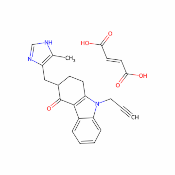 C#CCn1c2c(c3ccccc31)C(=O)C(Cc1nc[nH]c1C)CC2.O=C(O)C=CC(=O)O